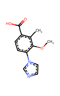 COc1c(-n2ccnc2)ccc(C(=O)O)c1C